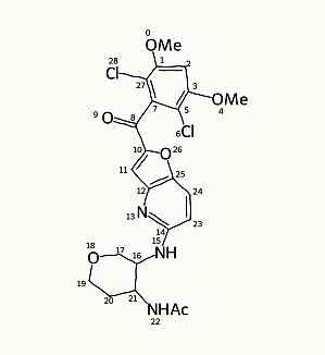 COc1cc(OC)c(Cl)c(C(=O)c2cc3nc(NC4COCCC4NC(C)=O)ccc3o2)c1Cl